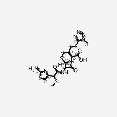 CSC(C(=O)NC1C(=O)N2C(C(=O)O)=C(CSc3nnnn3C)CS[C@H]12)c1csc(N)n1